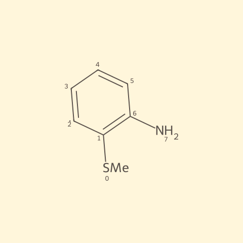 CSc1[c]cccc1N